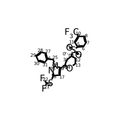 C[C@]1(S(=O)(=O)c2cccc(C(F)(F)F)c2)CCO[C@@H](c2cc(SC(F)F)nn2Cc2ccccc2)C1